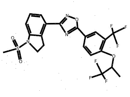 CC(Oc1ccc(-c2nc(-c3cccc4c3CCN4S(C)(=O)=O)no2)cc1C(F)(F)F)C(F)(F)F